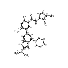 Cc1cc(F)c(C(=O)Nc2cnn(C(C)(C)C)c2F)cc1-c1cc(N2CCOCC2)c2nc(N(C)C)nn2c1